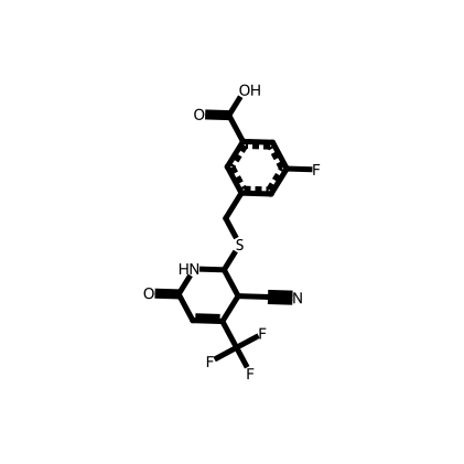 N#CC1C(C(F)(F)F)=CC(=O)NC1SCc1cc(F)cc(C(=O)O)c1